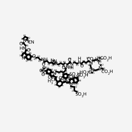 CC1(C)C(/C=C/C2=C(Oc3ccc(S(=O)(=O)O)cc3)C(=C/C=C3/N(CCCCS(=O)(=O)O)c4ccc(S(=O)(=O)O)cc4C3(C)C)/CCC2)=[N+](CCCCCC(=O)N[C@@H](CCCCn2cc(CCC(=O)NCCCOc3ccc4nccc(C(=O)NCC(=O)N5CCC[C@H]5C#N)c4c3)nn2)C(=O)NCCNC(=O)CCC(C(=O)O)N2CCN(CC(=O)O)CCN(CC(=O)O)CCN(CC(=O)O)CC2)c2ccc(S(=O)(=O)[O-])cc21